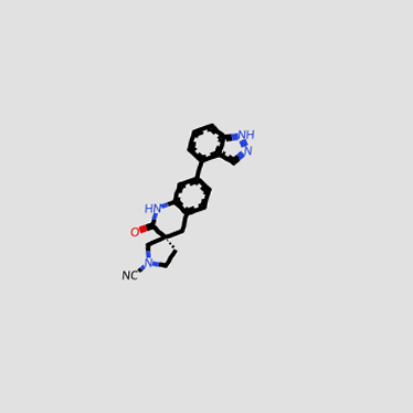 N#CN1CC[C@]2(Cc3ccc(-c4cccc5[nH]ncc45)cc3NC2=O)C1